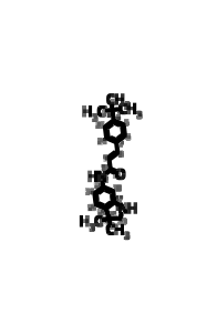 CC(C)(C)c1ccc(/C=C/C(=O)Nc2ccc3c(c2)NCC3(C)C)cc1